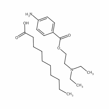 CCCCCCCCCC(=O)O.CCN(CC)CCOC(=O)c1ccc(N)cc1